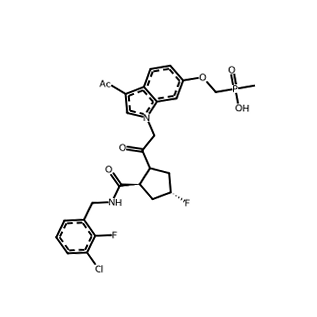 CC(=O)c1cn(CC(=O)C2C[C@H](F)C[C@H]2C(=O)NCc2cccc(Cl)c2F)c2cc(OCP(C)(=O)O)ccc12